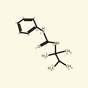 CC(C)C(C)(C)NC(=O)Nc1ccccc1